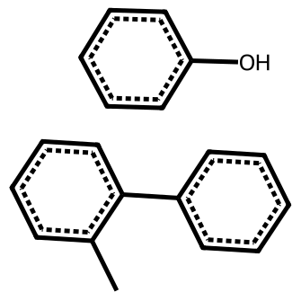 Cc1ccccc1-c1ccccc1.Oc1ccccc1